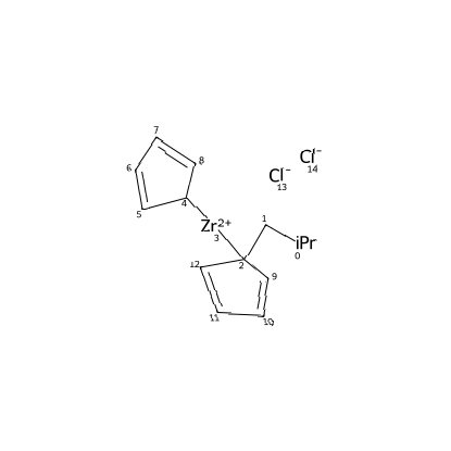 CC(C)C[C]1([Zr+2][CH]2C=CC=C2)C=CC=C1.[Cl-].[Cl-]